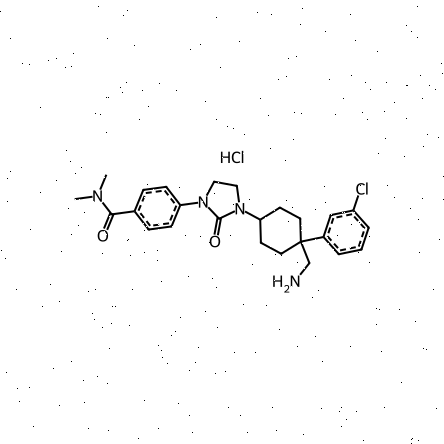 CN(C)C(=O)c1ccc(N2CCN(C3CCC(CN)(c4cccc(Cl)c4)CC3)C2=O)cc1.Cl